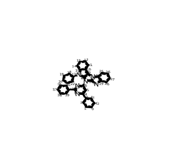 c1ccc(-c2cc(-n3c4c(c5ccccc5n4-c4ccccc4)n4c5ccccc5nc34)nc(-c3ccccc3)n2)cc1